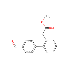 COC(=O)Cc1ccccc1-c1ccc(C=O)cc1